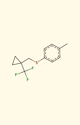 Cc1ccc(SCC2(C(F)(F)F)CC2)cc1